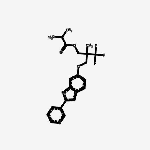 CC(C)C(=O)OCC(C)(COc1ccc2cc(-c3cccnc3)sc2c1)C(F)(F)F